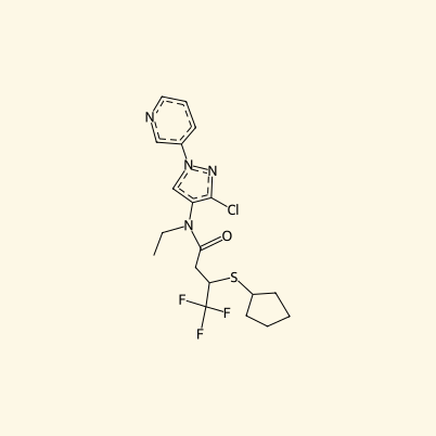 CCN(C(=O)CC(SC1CCCC1)C(F)(F)F)c1cn(-c2cccnc2)nc1Cl